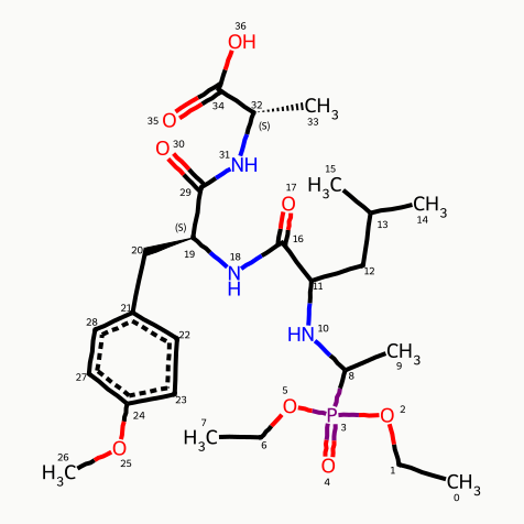 CCOP(=O)(OCC)C(C)NC(CC(C)C)C(=O)N[C@@H](Cc1ccc(OC)cc1)C(=O)N[C@@H](C)C(=O)O